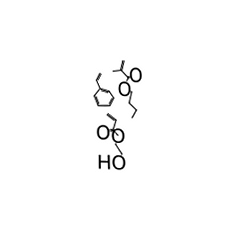 C=C(C)C(=O)OCCCC.C=CC(=O)OCCO.C=Cc1ccccc1